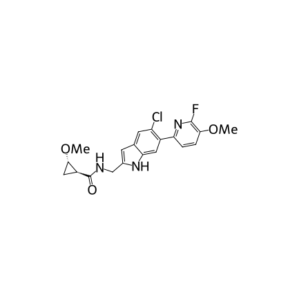 COc1ccc(-c2cc3[nH]c(CNC(=O)[C@H]4C[C@@H]4OC)cc3cc2Cl)nc1F